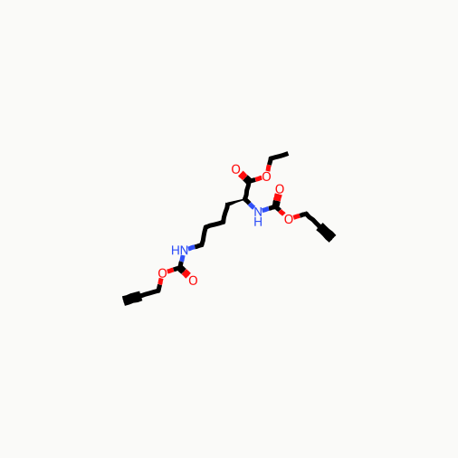 C#CCOC(=O)NCCCC[C@H](NC(=O)OCC#C)C(=O)OCC